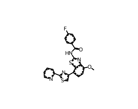 COc1ccc(-c2csc(-c3ccccn3)n2)c2sc(NC(=O)c3ccc(F)cc3)nc12